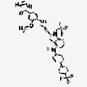 CNC(=O)c1ccc(NCC#Cc2cc3c(NC4CCC(N5CCC(C(F)(F)F)CC5)CC4)cccc3n2CC(F)(F)F)c(OC)c1